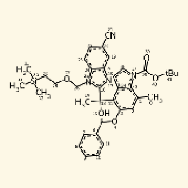 Cc1cc(OCc2ccccc2)c(C(C)(O)c2nc3cc(C#N)ccc3n2COCC[Si](C)(C)C)c2ccn(C(=O)OC(C)(C)C)c12